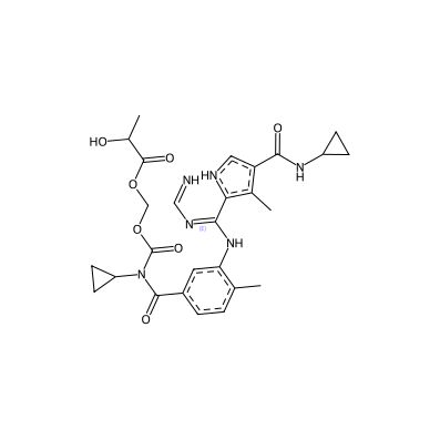 Cc1ccc(C(=O)N(C(=O)OCOC(=O)C(C)O)C2CC2)cc1N/C(=N/C=N)c1[nH]cc(C(=O)NC2CC2)c1C